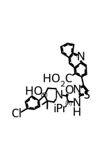 CC(C)[C@@H](Nc1nc(-c2ccc3nc4ccccc4cc3c2C(=O)O)cs1)C(=O)N1CC[C@](O)(c2ccc(Cl)cc2)C(C)(C)C1